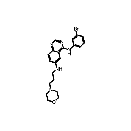 Brc1cccc(Nc2ncnc3ccc(NCCCN4CCOCC4)cc23)c1